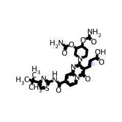 CC(C)(C)c1csc(NC(=O)c2ccn3c(=O)c(/C=C/C(=O)O)c(N4CCC(OC(N)=O)C(OC(N)=O)C4)nc3c2)n1